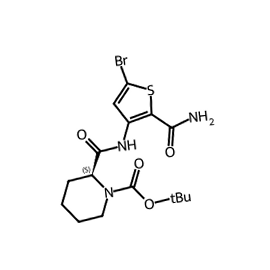 CC(C)(C)OC(=O)N1CCCC[C@H]1C(=O)Nc1cc(Br)sc1C(N)=O